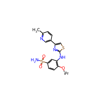 Cc1ccc(-c2csc(Nc3cc(S(N)(=O)=O)ccc3OC(C)C)n2)cn1